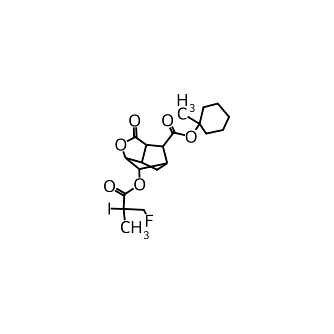 CC1(OC(=O)C2C3CC4C(OC(=O)C42)C3OC(=O)C(C)(I)CF)CCCCC1